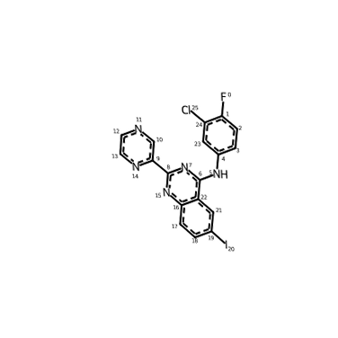 Fc1ccc(Nc2nc(-c3cnccn3)nc3ccc(I)cc23)cc1Cl